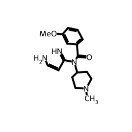 COc1cccc(C(=O)N(C(=N)/C=C\N)C2CCN(C)CC2)c1